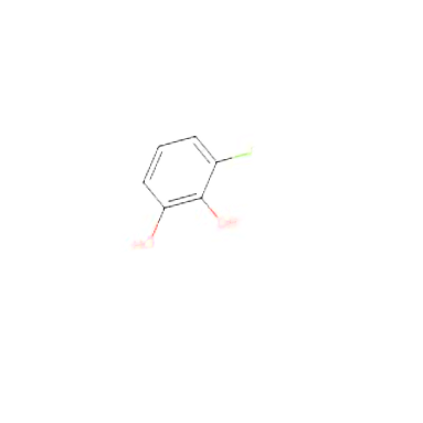 Oc1c[c]cc(F)c1O